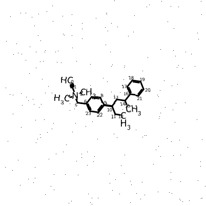 C#C[N+](C)(C)Cc1ccc(C(CC)CC(C)c2ccccc2)cc1